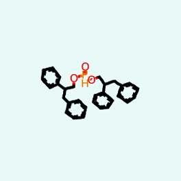 O=[PH](OCC(Cc1ccccc1)c1ccccc1)OCC(Cc1ccccc1)c1ccccc1